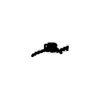 CCCCCCCCCCOc1c(O)c2c(OCC=C(C)CCC=C(C)C)cccc2oc1=O